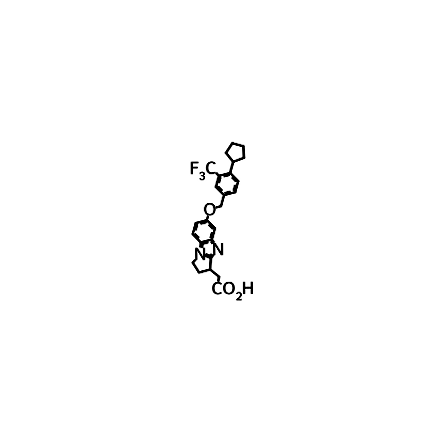 O=C(O)CC1CCn2c1nc1cc(OCc3ccc(C4CCCC4)c(C(F)(F)F)c3)ccc12